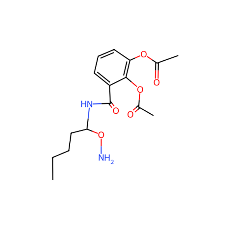 CCCCC(NC(=O)c1cccc(OC(C)=O)c1OC(C)=O)ON